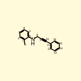 Cc1ccccc1NCC#Cc1ccccc1